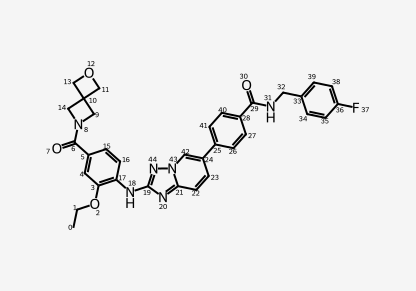 CCOc1cc(C(=O)N2CC3(COC3)C2)ccc1Nc1nc2ccc(-c3ccc(C(=O)NCc4ccc(F)cc4)cc3)cn2n1